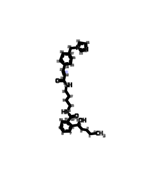 CCCCC(O)c1ccccc1C(=O)NCCCCNC(=O)/C=C/c1ccc(Cn2ccnc2)cc1